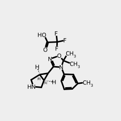 Cc1cccc(N2C(C3[C@H]4CNC[C@@H]34)=NOC2(C)C)c1.O=C(O)C(F)(F)F